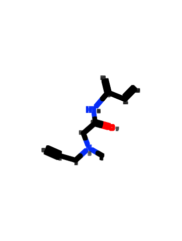 C#CCN(C)CC(=O)NC(=C)C=C